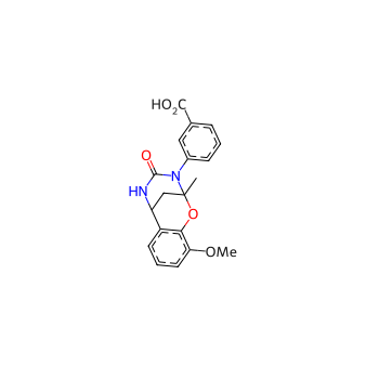 COc1cccc2c1OC1(C)CC2NC(=O)N1c1cccc(C(=O)O)c1